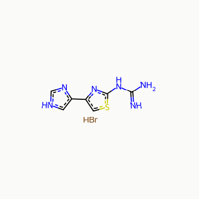 Br.N=C(N)Nc1nc(-c2c[nH]cn2)cs1